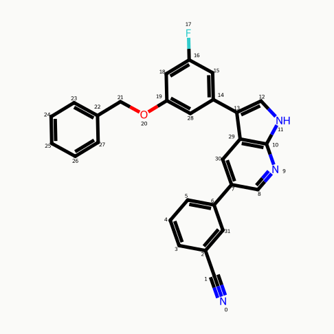 N#Cc1cccc(-c2cnc3[nH]cc(-c4cc(F)cc(OCc5ccccc5)c4)c3c2)c1